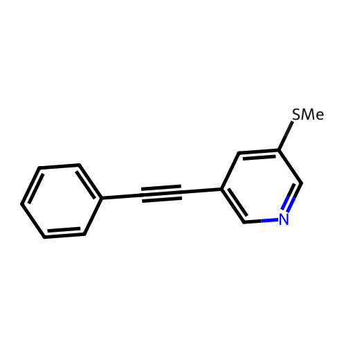 CSc1cncc(C#Cc2ccccc2)c1